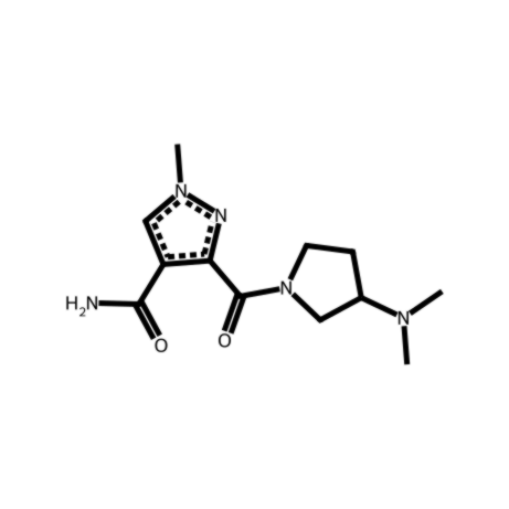 CN(C)C1CCN(C(=O)c2nn(C)cc2C(N)=O)C1